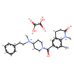 CCc1cc(C(=O)N2CCC(N(C)CCc3ccccc3)CC2)cc2c1N(C)C(=O)CC2.O=C(O)C(=O)O